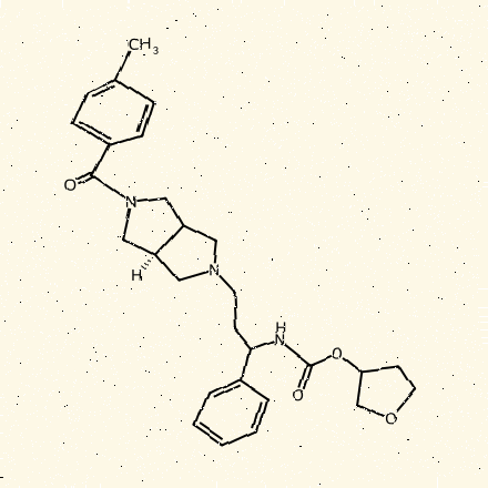 Cc1ccc(C(=O)N2CC3CN(CCC(NC(=O)OC4CCOC4)c4ccccc4)C[C@H]3C2)cc1